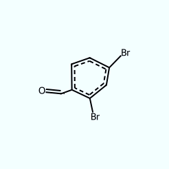 O=[C]c1ccc(Br)cc1Br